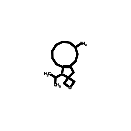 BC1CCCCCCC2=C(CC1)CC1(COC1)N2C(C)C